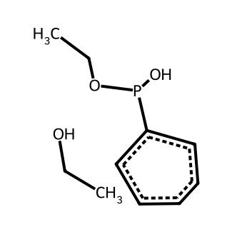 CCO.CCOP(O)c1ccccc1